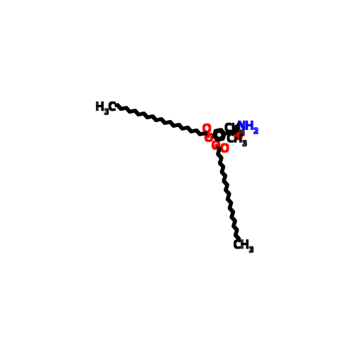 CCCCCCCCCCCCCCCCCCCCCC(=O)Oc1ccc(C(C)(C)C(=O)CN)cc1OC(=O)CCCCCCCCCCCCCCCCCCCCC